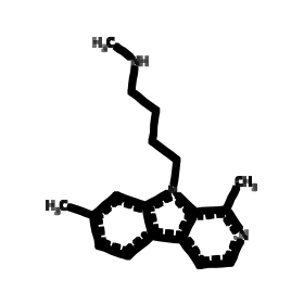 CNCCCCn1c2cc(C)ccc2c2ccnc(C)c21